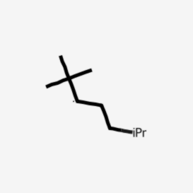 CC(C)CC[CH]C(C)(C)C